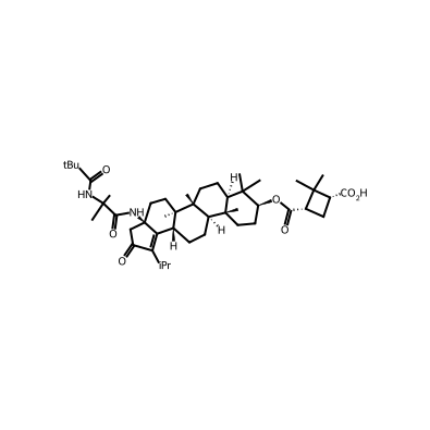 CC(C)C1=C2[C@H]3CC[C@@H]4[C@@]5(C)CC[C@H](OC(=O)[C@H]6C[C@@H](C(=O)O)C6(C)C)C(C)(C)[C@@H]5CC[C@@]4(C)[C@]3(C)CC[C@@]2(NC(=O)C(C)(C)NC(=O)C(C)(C)C)CC1=O